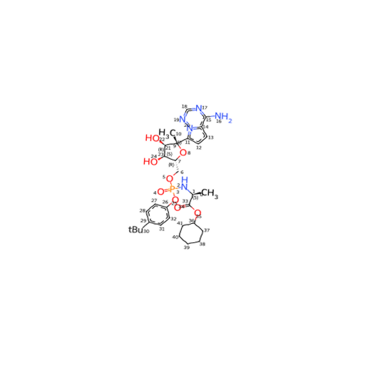 C[C@H](NP(=O)(OC[C@H]1O[C@@](C)(c2ccc3c(N)ncnn23)[C@H](O)[C@@H]1O)Oc1ccc(C(C)(C)C)cc1)C(=O)OC1CCCCC1